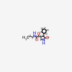 CCCNC(=O)C(=O)C1CNC(=O)[C@@H]1c1ccccc1